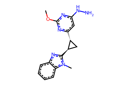 COc1nc(NN)cc([C@@H]2C[C@H]2c2nc3ccccc3n2C)n1